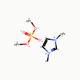 CCCOP(=O)([O-])OCCC.CCCn1cc[n+](C)c1